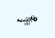 Cc1nc(NC(=O)NCCOCC2CC2)sc1-c1cccnc1Cl